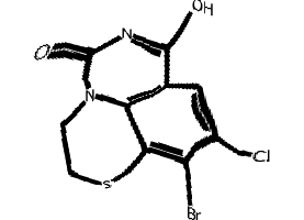 O=c1nc(O)c2cc(Cl)c(Br)c3c2n1CCS3